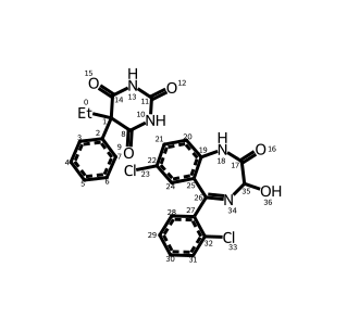 CCC1(c2ccccc2)C(=O)NC(=O)NC1=O.O=C1Nc2ccc(Cl)cc2C(c2ccccc2Cl)=NC1O